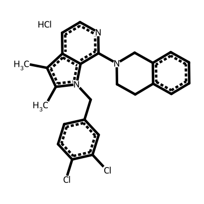 Cc1c(C)n(Cc2ccc(Cl)c(Cl)c2)c2c(N3CCc4ccccc4C3)nccc12.Cl